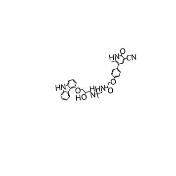 Cc1[nH]c(=O)c(C#N)cc1-c1ccc(OCC(=O)NCC(C)(C)NCC(O)COc2cccc3[nH]c4ccccc4c23)cc1